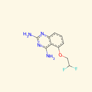 Nc1nc(N)c2c(OCC(F)F)cccc2n1